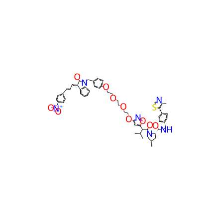 Cc1ncsc1-c1ccc([C@H](C)NC(=O)[C@@H]2C[C@@H](C)CN2C(=O)C(c2cc(OCCOCCOCCOc3ccc(CN4C(=O)/C(=C/C=C/c5ccc([N+](=O)[O-])cc5)c5ccccc54)cc3)no2)C(C)C)cc1